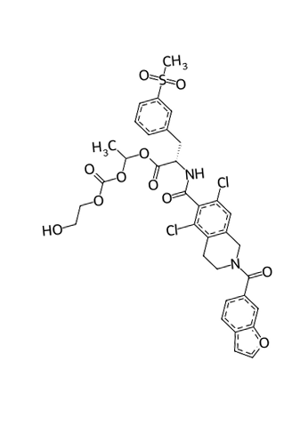 CC(OC(=O)OCCO)OC(=O)[C@H](Cc1cccc(S(C)(=O)=O)c1)NC(=O)c1c(Cl)cc2c(c1Cl)CCN(C(=O)c1ccc3ccoc3c1)C2